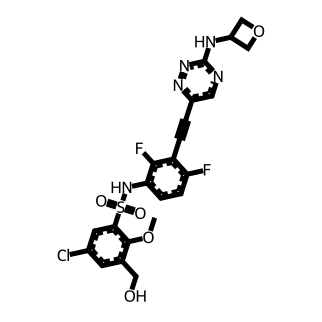 COc1c(CO)cc(Cl)cc1S(=O)(=O)Nc1ccc(F)c(C#Cc2cnc(NC3COC3)nn2)c1F